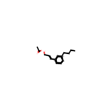 CCCCc1cccc(C=CCOC(C)=O)c1